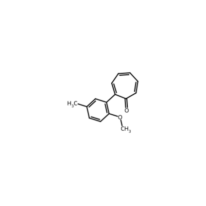 COc1ccc(C)cc1-c1cccccc1=O